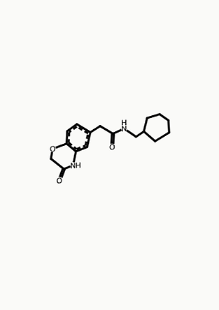 O=C(Cc1ccc2c(c1)NC(=O)CO2)NCC1CCCCC1